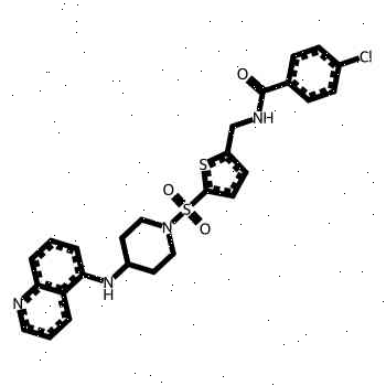 O=C(NCc1ccc(S(=O)(=O)N2CCC(Nc3cccc4ncccc34)CC2)s1)c1ccc(Cl)cc1